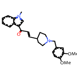 COc1ccc(CN2CCC(/C=C/C(=O)c3cn(C)c4ccccc34)CC2)cc1OC